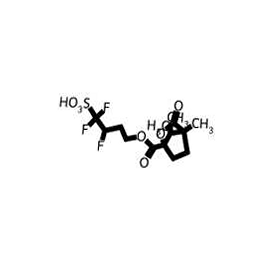 CC12CCC(C(=O)OCCC(F)C(F)(F)S(=O)(=O)O)(OC1=O)C2(C)C